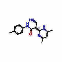 CC1=CC(C)=N/C(=C(/C=N)C(=O)Nc2ccc(C)cc2)N1